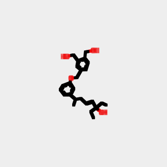 CCC(O)(C=CCC(C)c1cccc(OCc2ccc(CO)c(CO)c2)c1)CC